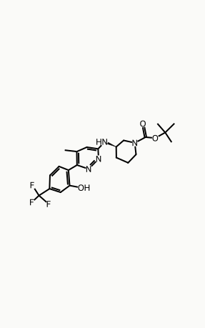 Cc1cc(N[C@@H]2CCCN(C(=O)OC(C)(C)C)C2)nnc1-c1ccc(C(F)(F)F)cc1O